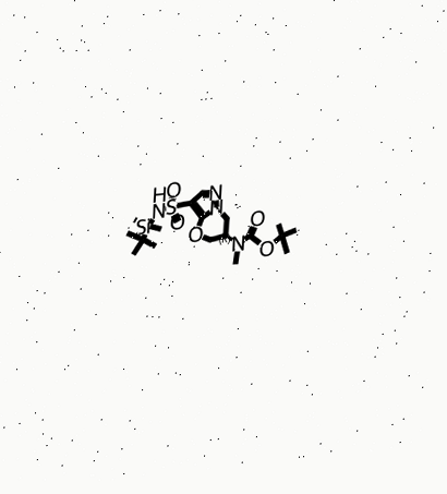 CN(C(=O)OC(C)(C)C)[C@H]1COc2c(S(=O)(=O)N[Si](C)(C)C(C)(C)C)cnn2C1